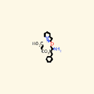 NC(CCc1ccccc1)COc1cc2ccccn2n1.O=C(O)C=CC(=O)O